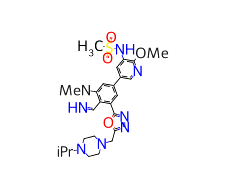 CNc1cc(-c2cnc(OC)c(NS(C)(=O)=O)c2)cc(-c2nnc(CN3CCN(C(C)C)CC3)o2)c1C=N